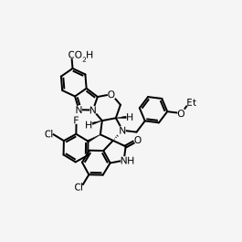 CCOc1cccc(CN2[C@H]3COc4c5cc(C(=O)O)ccc5nn4[C@H]3[C@H](c3cccc(Cl)c3F)[C@]23C(=O)Nc2cc(Cl)ccc23)c1